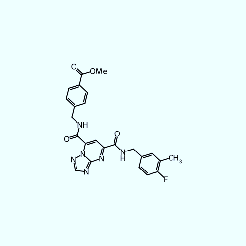 COC(=O)c1ccc(CNC(=O)c2cc(C(=O)NCc3ccc(F)c(C)c3)nc3ncnn23)cc1